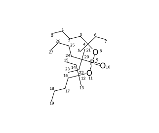 CCCCC(C)(CC)OP(=O)(OC(C)(CC)CCCC)C(C)(CC)CCCC